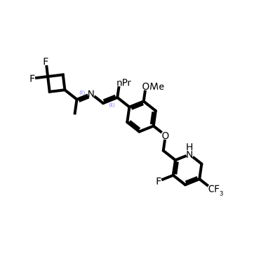 CCC/C(=C\N=C(/C)C1CC(F)(F)C1)c1ccc(OCC2=C(F)C=C(C(F)(F)F)CN2)cc1OC